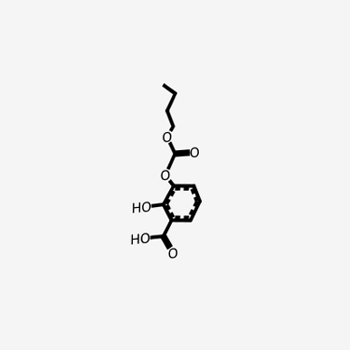 CCCCOC(=O)Oc1cccc(C(=O)O)c1O